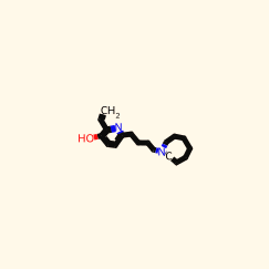 C=Cc1nc(CCCCN2CCCCCCC2)ccc1O